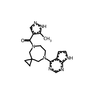 Cc1[nH]ncc1C(=O)N1CCN(c2ncnc3[nH]ccc23)CC2(CC2)C1